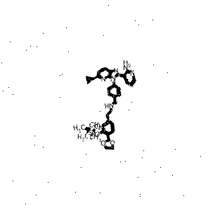 CC(C)(C)[Si](C)(C)Oc1cc(CCNCc2ccc(-n3c(-c4cccnc4N)nc4ccc(C5CC5)nc43)cc2)ccc1C1OCCO1